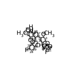 COc1cc(OS(=O)(=O)C(F)(F)F)ccc1-c1ccc2c(c1COc1cc(F)ccc1C)C(C)=CC(C)(C)N2